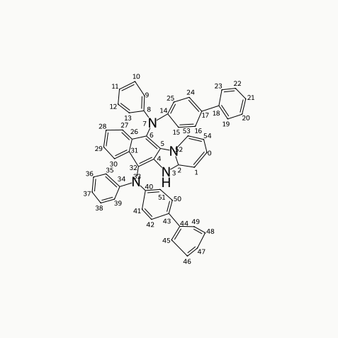 C1=CC2Nc3c(c(N(c4ccccc4)c4ccc(-c5ccccc5)cc4)c4ccccc4c3N(c3ccccc3)c3ccc(-c4ccccc4)cc3)N2C=C1